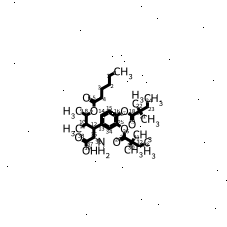 CCCCCC(=O)OC(C)C(C)C(c1ccc(OC(=O)C(C)(C)CC)c(OC(=O)C(C)(C)CC)c1)[C@H](N)C(=O)O